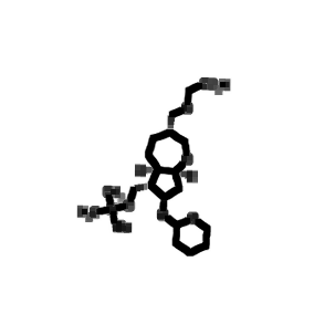 CC(C)(C)[Si](C)(C)OC[C@@H]1[C@H]2CC[C@H](COCC(=O)O)CO[C@H]2C[C@H]1OC1CCCCO1